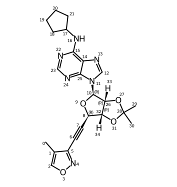 Cc1conc1C#C[C@H]1O[C@@H](n2cnc3c(NC4CCCC4)ncnc32)[C@@H]2OC(C)(C)O[C@@H]21